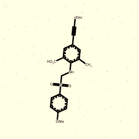 CCCCCCCCCCC#Cc1cc(C)c(NCS(=O)(=O)c2ccc(OC)cc2)c(C(=O)O)c1